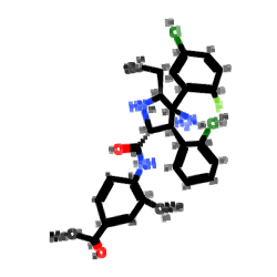 COC(=O)c1ccc(NC(=O)[C@@H]2N[C@@H](CC(C)(C)C)[C@](N)(c3cc(Cl)ccc3F)[C@H]2c2ccccc2Cl)c(OC)c1